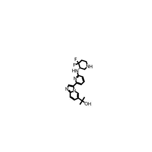 CC(C)(O)c1ccc2ncc(-c3cccc(N[C@H]4CNCCC4(F)F)n3)n2c1